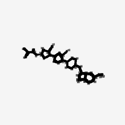 CC(=S)NC[C@H]1CN(c2ccc(C3CCN(Cc4c[nH]c5ccc([N+](=O)[O-])cc45)CC3)c(F)c2)C(=O)O1